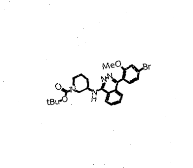 COc1cc(Br)ccc1-c1nnc(NC2CCCN(C(=O)OC(C)(C)C)C2)c2ccccc12